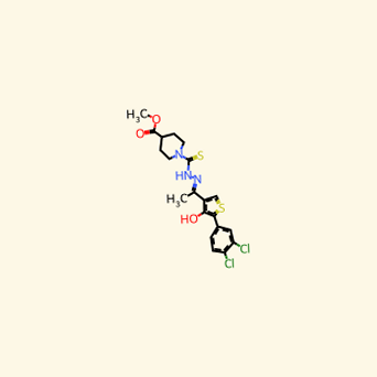 COC(=O)C1CCN(C(=S)N/N=C(\C)c2csc(-c3ccc(Cl)c(Cl)c3)c2O)CC1